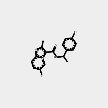 Cc1nc2ccc(F)cn2c1C(=O)NC(C)c1ccc(Cl)cc1